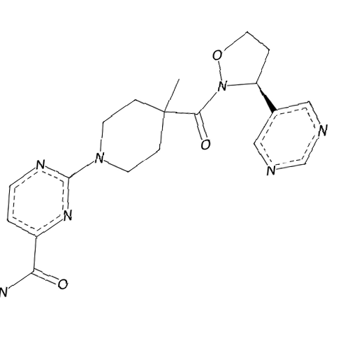 CC1(C(=O)N2OCC[C@H]2c2cncnc2)CCN(c2nccc(C(N)=O)n2)CC1